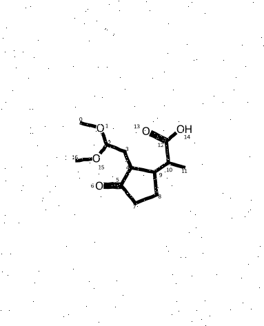 COC(CC1C(=O)CCC1C(C)C(=O)O)OC